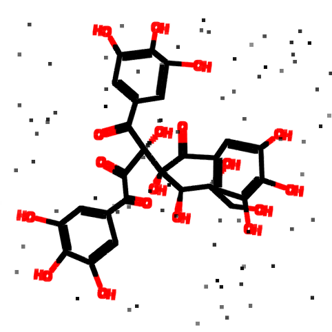 O=C(C(=O)[C@@](O)(C(=O)c1cc(O)c(O)c(O)c1)[C@](O)(C(=O)c1cc(O)c(O)c(O)c1)[C@H](O)[C@H](O)CO)c1cc(O)c(O)c(O)c1